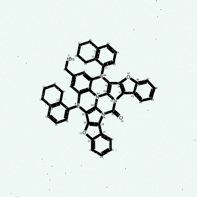 CC(C)(C)Cc1cc2c3c(c1)B(c1cccc4c1CCCC4)c1c4oc5ccccc5c4n4c(=O)n5c6c(oc7ccccc76)c(c5n-3c14)B2c1cccc2c1CCCC2